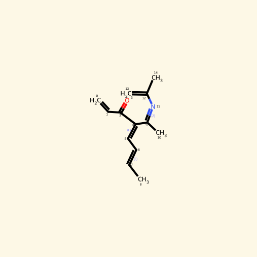 C=CC(=O)C(=C/C=C/C)/C(C)=N\C(=C)C